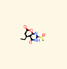 CCc1cc(=O)oc2nc([S+](C)[O-])[nH]c(=O)c12